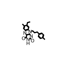 CCc1cc2c(cc1C)nc1c(=O)[nH]c(=O)nc-1n2CCCc1ccc(C)cc1